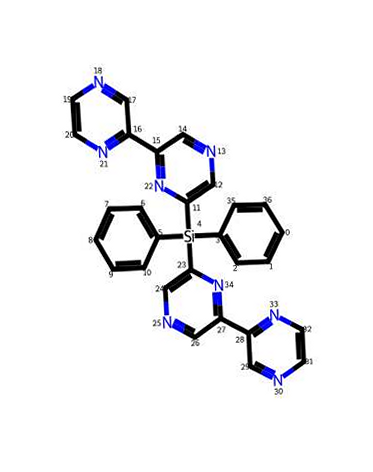 c1ccc([Si](c2ccccc2)(c2cncc(-c3cnccn3)n2)c2cncc(-c3cnccn3)n2)cc1